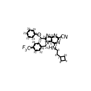 N#Cc1nc(NCCC2CCC2)c2c(n1)nc(COc1ccccc1)n2Cc1ccc(C(F)(F)F)cc1